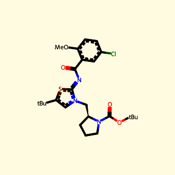 COc1ccc(Cl)cc1C(=O)/N=c1\sc(C(C)(C)C)cn1C[C@@H]1CCCN1C(=O)OC(C)(C)C